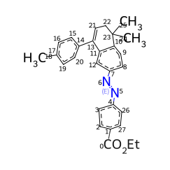 CCOC(=O)c1ccc(/N=N/c2ccc3c(c2)C(c2ccc(C)cc2)=CCC3(C)C)cc1